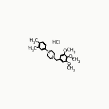 COc1cc(CN2CCN(c3ccc(C)c(C)c3)CC2)cc(OC)c1OC.Cl